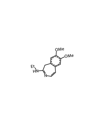 CCNC1=NC=Cc2cc(OC)c(OC)cc2C1